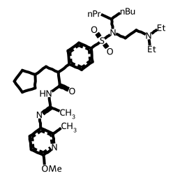 CCCCC(CCC)N(CCN(CC)CC)S(=O)(=O)c1ccc(C(CC2CCCC2)C(=O)N/C(C)=N/c2ccc(OC)nc2C)cc1